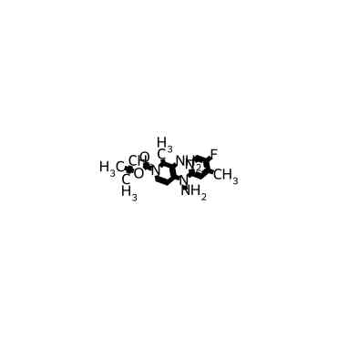 Cc1cc(N(N)C2=C(N)C(C)N(C(=O)OC(C)(C)C)C=C2)ncc1F